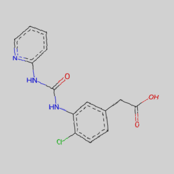 O=C(O)Cc1ccc(Cl)c(NC(=O)Nc2ccccn2)c1